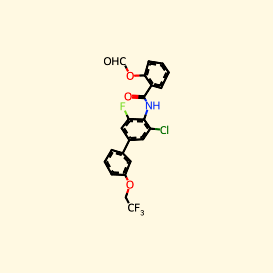 O=COc1ccccc1C(=O)Nc1c(F)cc(-c2cccc(OCC(F)(F)F)c2)cc1Cl